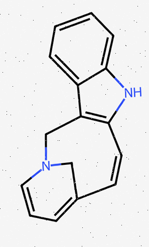 C1=CN2CC(=C1)C=Cc1[nH]c3ccccc3c1C2